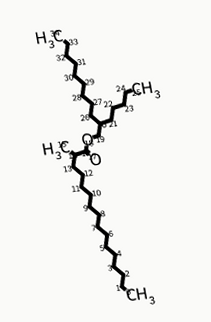 CCCCCCCCCCCCCCC(C)C(=O)OCC(CCCCC)CCCCCCCCC